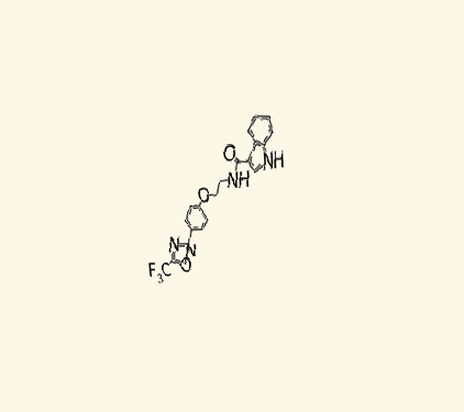 O=C(NCCOc1ccc(-c2noc(C(F)(F)F)n2)cc1)c1c[nH]c2ccccc12